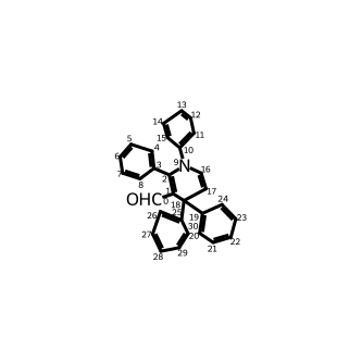 O=CC1=C(c2ccccc2)N(c2ccccc2)C=CC1(c1ccccc1)c1ccccc1